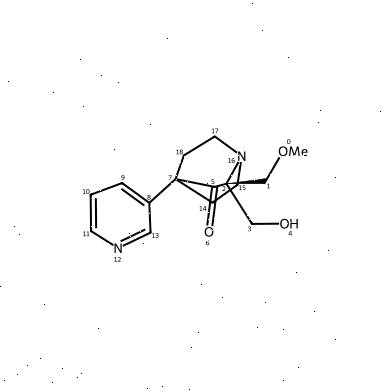 COC[C@@]1(CO)C(=O)C2(c3cccnc3)CCN1CC2